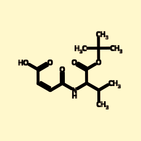 CC(C)C(NC(=O)/C=C\C(=O)O)C(=O)OC(C)(C)C